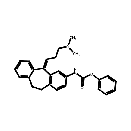 CN(C)CC/C=C1/c2ccccc2CCc2ccc(NC(=O)Oc3ccccc3)cc21